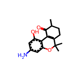 CC1CCC2=C(C1=O)c1c(O)cc(N)cc1OC2(C)C